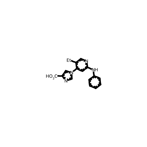 CCc1cnc(Nc2ccccc2)cc1-n1cnc(C(=O)O)c1